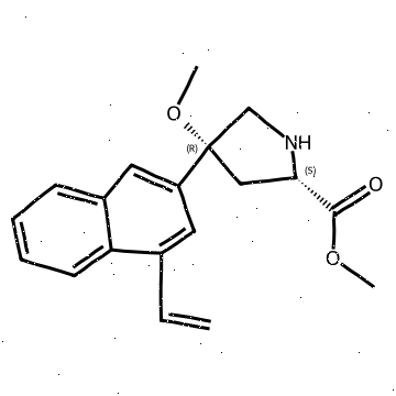 C=Cc1cc([C@@]2(OC)CN[C@H](C(=O)OC)C2)cc2ccccc12